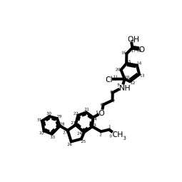 CCCc1c(OCCCNC2(Cl)C=CC=C(CC(=O)O)C2)ccc2c1CCC2c1ccccc1